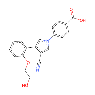 N#Cc1cn(-c2ccc(C(=O)O)cc2)cc1-c1ccccc1OCCO